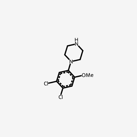 COc1cc(Cl)c(Cl)cc1N1CCNCC1